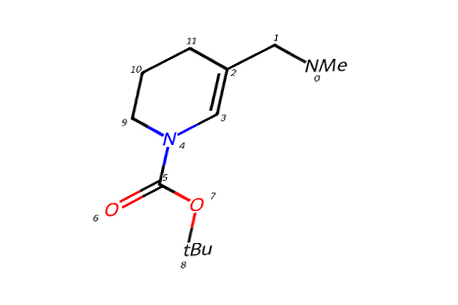 CNCC1=CN(C(=O)OC(C)(C)C)CCC1